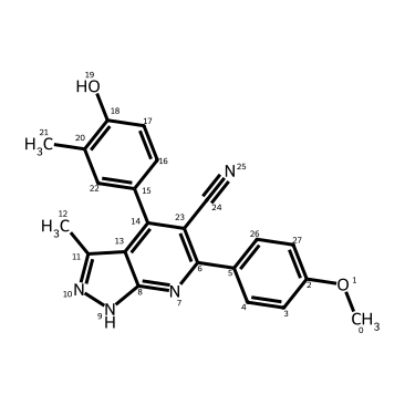 COc1ccc(-c2nc3[nH]nc(C)c3c(-c3ccc(O)c(C)c3)c2C#N)cc1